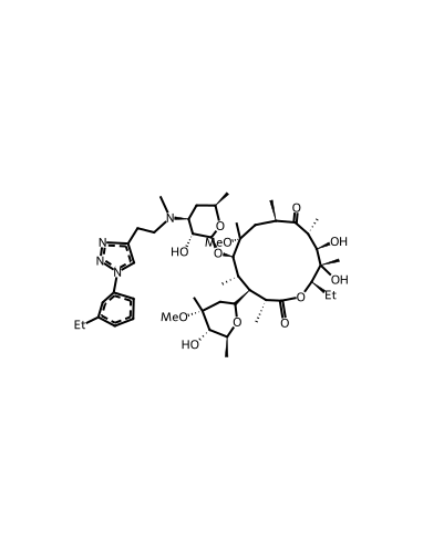 CCc1cccc(-n2cc(CCN(C)[C@H]3C[C@@H](C)O[C@@H](O[C@@H]4[C@@H](C)[C@H](C5C[C@@](C)(OC)[C@@H](O)[C@H](C)O5)[C@@H](C)C(=O)O[C@H](CC)[C@@](C)(O)[C@H](O)[C@@H](C)C(=O)[C@H](C)C[C@@]4(C)OC)[C@@H]3O)nn2)c1